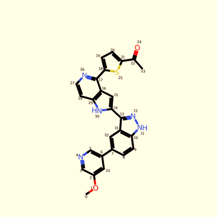 COc1cncc(-c2ccc3[nH]nc(-c4cc5c(-c6ccc(C(C)=O)s6)nccc5[nH]4)c3c2)c1